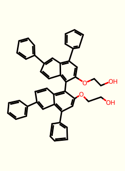 OCCOc1cc(-c2ccccc2)c2cc(-c3ccccc3)ccc2c1-c1c(OCCO)cc(-c2ccccc2)c2cc(-c3ccccc3)ccc12